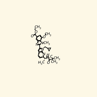 CCOC(=O)c1cc(OC)c2c(c1)nc(-c1cc3ccc([C@@H](C)NC(=O)C(C)(C)C)nc3n1CC1CC1)n2C